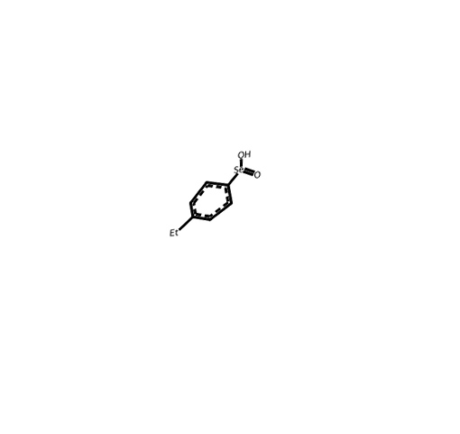 CCc1ccc([Se](=O)O)cc1